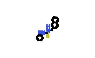 S=C(NCc1ccc2ccccc2c1)Nc1ccccc1